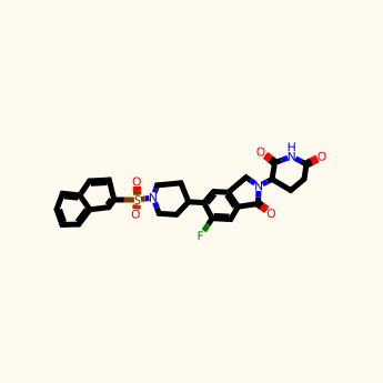 O=C1CCC(N2Cc3cc(C4CCN(S(=O)(=O)c5ccc6ccccc6c5)CC4)c(F)cc3C2=O)C(=O)N1